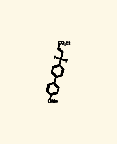 CCOC(=O)/C=C/C(F)(F)c1ccc(-c2ccc(OC)cc2)cc1